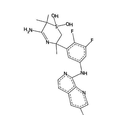 CC1(c2cc(Nc3nccc4cc(Cl)cnc34)cc(F)c2F)CS(O)(O)C(C)(C)C(N)=N1